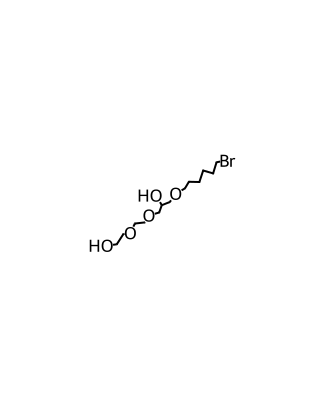 OCCOCCOCC(O)COCCCCCCBr